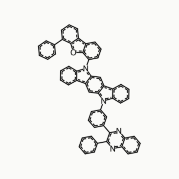 c1ccc(-c2nc3ccccc3nc2-c2cccc(-n3c4ccccc4c4cc5c(cc43)c3ccccc3n5-c3cccc4c3oc3c(-c5ccccc5)cccc34)c2)cc1